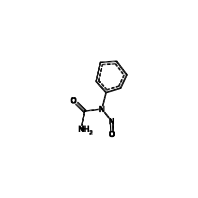 NC(=O)N(N=O)c1ccccc1